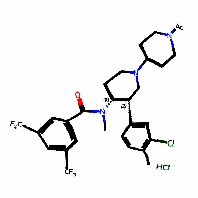 CC(=O)N1CCC(N2CC[C@@H](N(C)C(=O)c3cc(C(F)(F)F)cc(C(F)(F)F)c3)[C@H](c3ccc(C)c(Cl)c3)C2)CC1.Cl